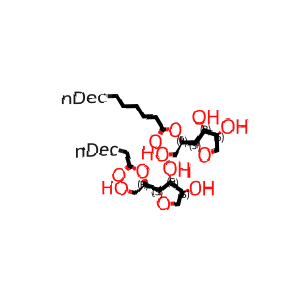 CCCCCCCCCCCC(=O)O[C@H](CO)[C@H]1OC[C@H](O)[C@H]1O.CCCCCCCCCCCCCCCC(=O)O[C@H](CO)[C@H]1OC[C@H](O)[C@H]1O